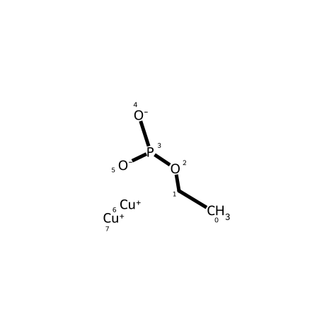 CCOP([O-])[O-].[Cu+].[Cu+]